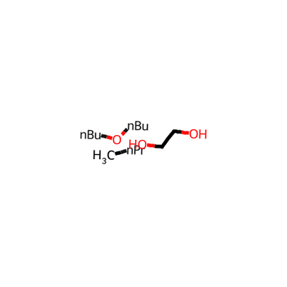 CCCC.CCCCOCCCC.OCCO